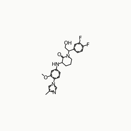 COc1cc(NC2CCCN(C(CO)c3ccc(F)c(F)c3)C2=O)ccc1-n1cnc(C)c1